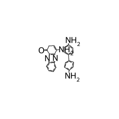 NC1=CCC(=O)c2nc3ccccc3nc21.Nc1ccc(-c2ccc(N)cc2)cc1